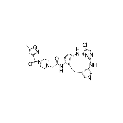 Cc1cc(C(=O)N2CCN(CC(=O)Nc3ccc4cc3CCc3cncc(c3)Nc3ncc(Cl)c(n3)N4)CC2)no1